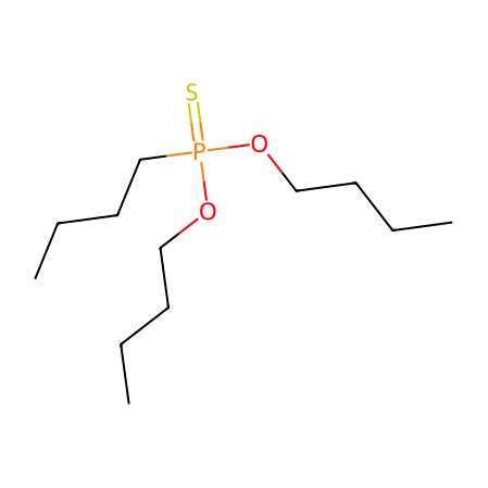 CCCCOP(=S)(CCCC)OCCCC